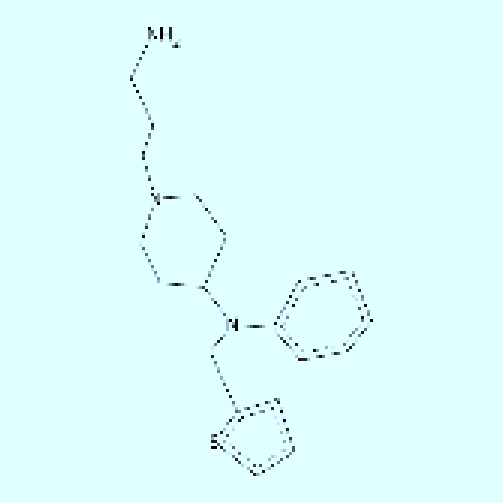 NCCCN1CCC(N(Cc2cccs2)c2ccccc2)CC1